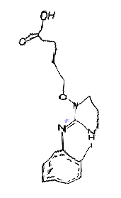 O=C(O)CCCON1CCN/C1=N\c1ccccc1I